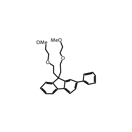 COCCOCCC1(CCOCCOC)c2ccccc2-c2ccc(-c3ccccc3)cc21